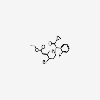 CCOC(=O)/C=C1\CN(C(C(=O)C2CC2)c2ccccc2F)CCC1Br